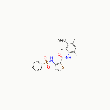 COc1c(C)cc(C)c(NC(=O)c2sccc2NS(=O)(=O)c2ccccc2)c1C